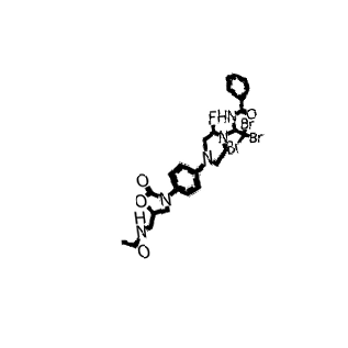 CC(=O)NCC1CN(c2ccc(N3CCN(C(NC(=O)c4ccccc4)C(Br)(Br)Br)C(F)C3)cc2)C(=O)O1